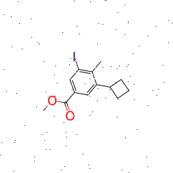 COC(=O)c1cc(I)c(C)c(C2CCC2)c1